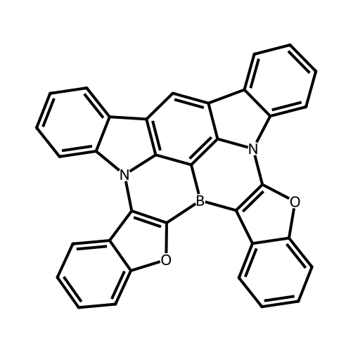 c1ccc2c3c(oc2c1)-n1c2ccccc2c2cc4c5ccccc5n5c4c(c21)B3c1oc2ccccc2c1-5